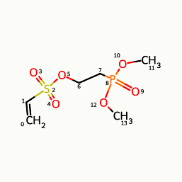 C=CS(=O)(=O)OCCP(=O)(OC)OC